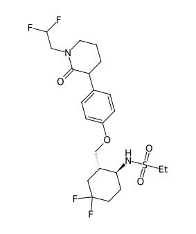 CCS(=O)(=O)N[C@H]1CCC(F)(F)C[C@@H]1COc1ccc(C2CCCN(CC(F)F)C2=O)cc1